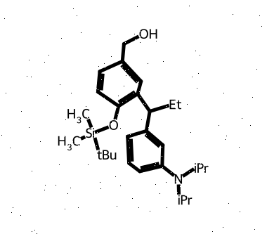 CCC(c1cccc(N(C(C)C)C(C)C)c1)c1cc(CO)ccc1O[Si](C)(C)C(C)(C)C